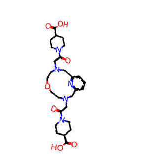 O=C(O)C1CCN(C(=O)CN2CCOCCN(CC(=O)N3CCC(C(=O)O)CC3)Cc3cccc(n3)C2)CC1